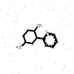 CC1CCC(C)C(c2ccccn2)C1